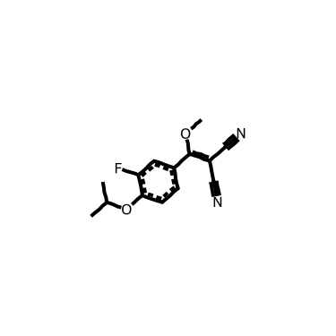 COC(=C(C#N)C#N)c1ccc(OC(C)C)c(F)c1